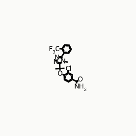 Cn1c(-c2ccccc2C(F)(F)F)nnc1C(C)(C)Oc1ccc(C(N)=O)cc1Cl